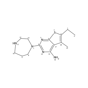 CCc1sc2nc(N3CCCNCC3)nc(N)c2c1C